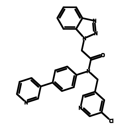 O=C(Cn1nnc2ccccc21)N(Cc1cncc(Cl)c1)c1ccc(-c2cccnc2)cc1